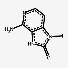 Nc1nccc2c1[nH]c(=O)n2I